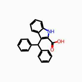 O=C(O)c1[nH]c2ccccc2c1C(c1ccccc1)c1ccccc1